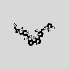 COCC1CN(Cc2cc(C(=O)Nc3cccc(-c4nccc(-c5ccc(CNC[C@@H]6CCC(=O)N6)c(OC)n5)c4Cl)c3Cl)ncc2OC)C1